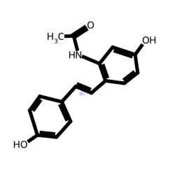 CC(=O)Nc1cc(O)ccc1/C=C/c1ccc(O)cc1